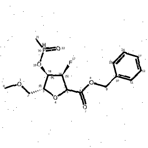 COC[C@H]1OC(C(=O)OCc2ccccc2)[C@H](F)[C@@H]1O[PH](C)=O